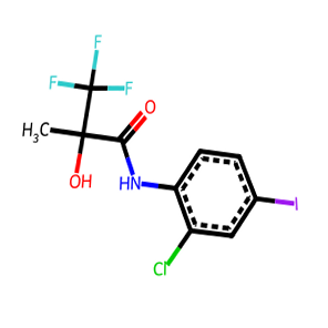 CC(O)(C(=O)Nc1ccc(I)cc1Cl)C(F)(F)F